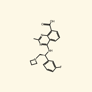 Cc1nc(N[C@H](CN2CCC2)c2cccc(F)c2)c2cccc(C(=O)O)c2n1